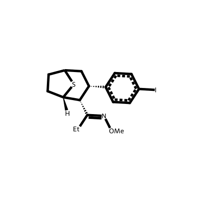 CCC(=NOC)[C@@H]1[C@@H]2CCC(C[C@@H]1c1ccc(I)cc1)S2